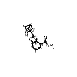 NC(=O)c1cccc2oc(C34CC(CN3)C4)nc12